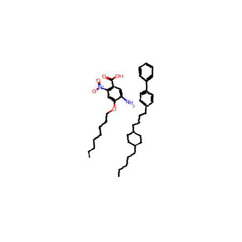 CCCCCC1CCC(CCCCc2ccc(-c3ccccc3)cc2)CC1.CCCCCCCCOc1cc([N+](=O)[O-])c(C(=O)O)cc1N